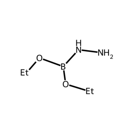 CCOB(NN)OCC